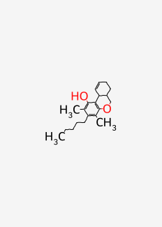 CCCCCc1c(C)c(O)c2c(c1C)OCC1CCC=CC21